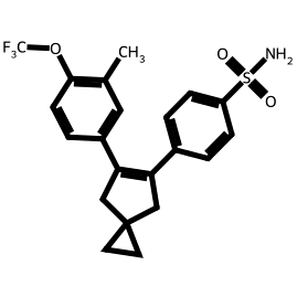 Cc1cc(C2=C(c3ccc(S(N)(=O)=O)cc3)CC3(CC3)C2)ccc1OC(F)(F)F